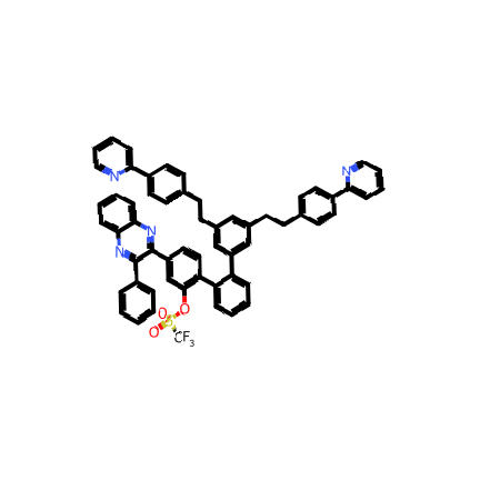 O=S(=O)(Oc1cc(-c2nc3ccccc3nc2-c2ccccc2)ccc1-c1ccccc1-c1cc(CCc2ccc(-c3ccccn3)cc2)cc(CCc2ccc(-c3ccccn3)cc2)c1)C(F)(F)F